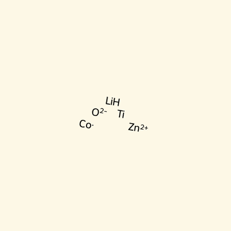 [Co].[LiH].[O-2].[Ti].[Zn+2]